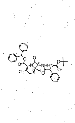 CC(C)(C)OC(=O)NC(C(=O)N[C@@H]1C(=O)N2C(C(=O)OC(c3ccccc3)c3ccccc3)=C(Cl)CS[C@@H]12)C1=CCC=CC1